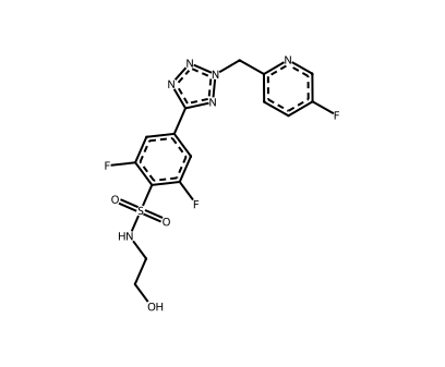 O=S(=O)(NCCO)c1c(F)cc(-c2nnn(Cc3ccc(F)cn3)n2)cc1F